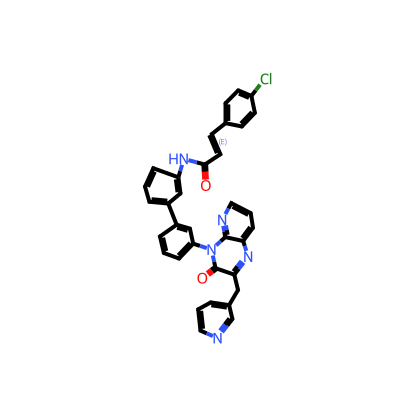 O=C(/C=C/c1ccc(Cl)cc1)Nc1cccc(-c2cccc(-n3c(=O)c(Cc4cccnc4)nc4cccnc43)c2)c1